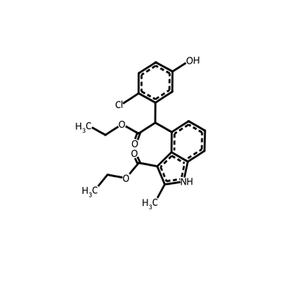 CCOC(=O)c1c(C)[nH]c2cccc(C(C(=O)OCC)c3cc(O)ccc3Cl)c12